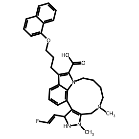 CN1CCCCn2c(C(=O)O)c(CCCOc3cccc4ccccc34)c3cccc(c32)C2=C(C1)N(C)NC2/C=C/F